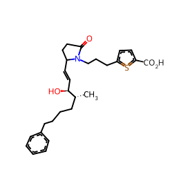 C[C@H](CCCCc1ccccc1)[C@@H](O)C=CC1CCC(=O)N1CCCc1ccc(C(=O)O)s1